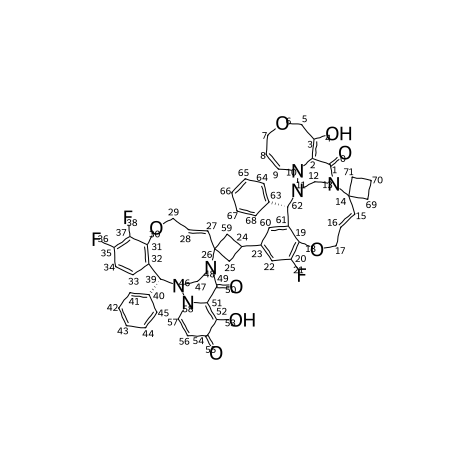 O=C1/C2=C(\O)COC/C=C\N2N2CN1C1(/C=C/COc3c(F)cc(C4CC5(/C=C/COc6c(ccc(F)c6F)[C@@H](c6ccccc6)N6CN5C(=O)c5c(O)c(=O)ccn56)C4)cc3[C@@H]2c2ccccc2)CCC1